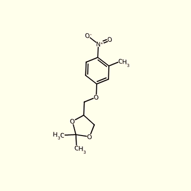 Cc1cc(OCC2COC(C)(C)O2)ccc1[N+](=O)[O-]